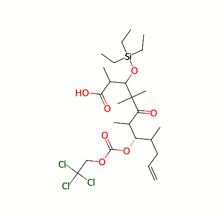 C=CCC(C)[C@H](OC(=O)OCC(Cl)(Cl)Cl)C(C)C(=O)C(C)(C)C(O[Si](CC)(CC)CC)C(C)C(=O)O